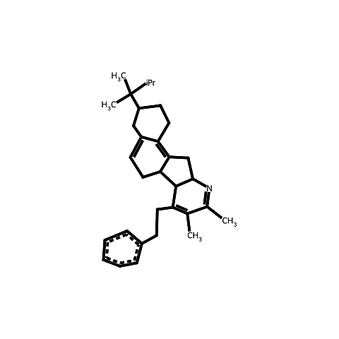 CC1=NC2CC3=C4CCC(C(C)(C)C(C)C)CC4=CCC3C2C(CCc2ccccc2)=C1C